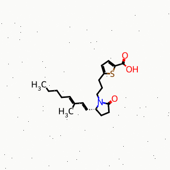 CCCC/C=C(C)/C=C/[C@H]1CCC(=O)N1CCCc1ccc(C(=O)O)s1